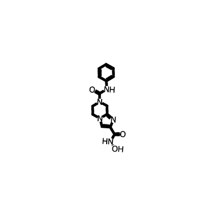 O=C(NO)c1cn2c(n1)CN(C(=O)Nc1ccccc1)CC2